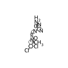 C[C@H]1c2c(Cl)cc(Cl)cc2CCN1C(=O)[C@H]1C[C@@]12CCN(c1cncc3nc(N)oc13)C2